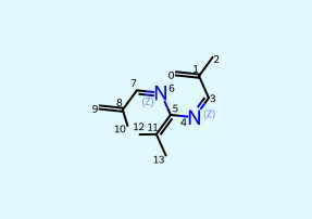 C=C(C)/C=N\C(/N=C\C(=C)C)=C(C)C